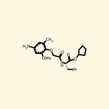 COc1cc(N)cc(C)c1OCC(=O)N[C@@H](CC(C)C)C(=O)OC1CCCC1